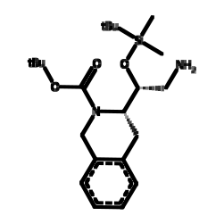 CC(C)(C)OC(=O)N1Cc2ccccc2C[C@H]1[C@@H](CN)O[Si](C)(C)C(C)(C)C